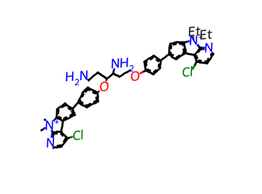 CC[N+]1(CC)c2ccc(-c3ccc(OCCC(N)C(CCN)Oc4ccc(-c5ccc6c(c5)-c5c(Cl)ccnc5[N+]6(C)C)cc4)cc3)cc2-c2c(Cl)ccnc21